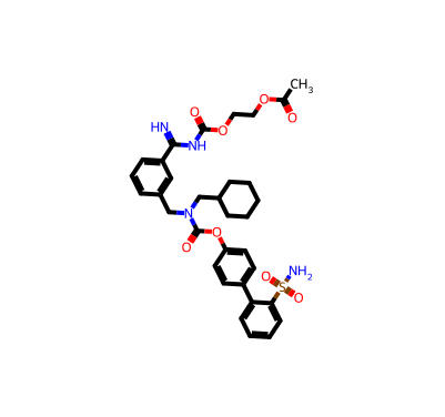 CC(=O)OCCOC(=O)NC(=N)c1cccc(CN(CC2CCCCC2)C(=O)Oc2ccc(-c3ccccc3S(N)(=O)=O)cc2)c1